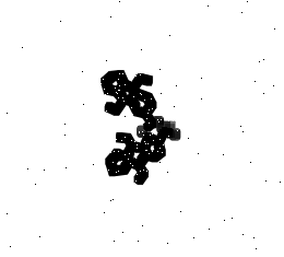 C=Cc1c2ccccc2c(C=C)c2cc(C(=O)Oc3c(C(=O)O)ccc4c(C=C)c5ccccc5c(C=C)c34)ccc12